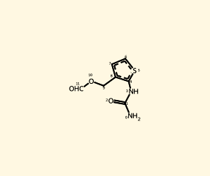 NC(=O)Nc1sccc1COC=O